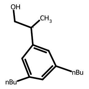 CCCCc1cc(CCCC)cc([C](C)CO)c1